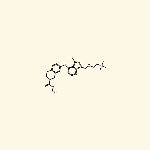 CC(C)(C)OC(=O)C1CCc2ccc(Oc3ccnc4c3c(I)cn4COCC[Si](C)(C)C)cc2C1